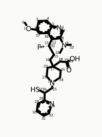 COc1ccc2ncc(N(C)C)c([C@@H](F)CCC3(CC(=O)O)CCN(CC(S)c4ccccn4)CC3)c2c1